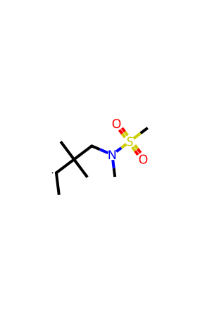 C[CH]C(C)(C)CN(C)S(C)(=O)=O